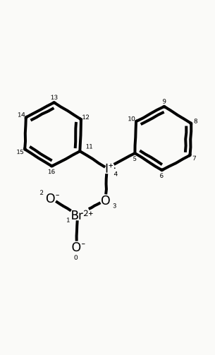 [O-][Br+2]([O-])O[I+](c1ccccc1)c1ccccc1